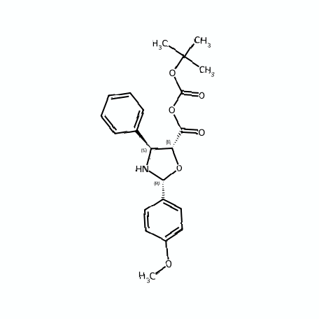 COc1ccc([C@@H]2N[C@@H](c3ccccc3)[C@H](C(=O)OC(=O)OC(C)(C)C)O2)cc1